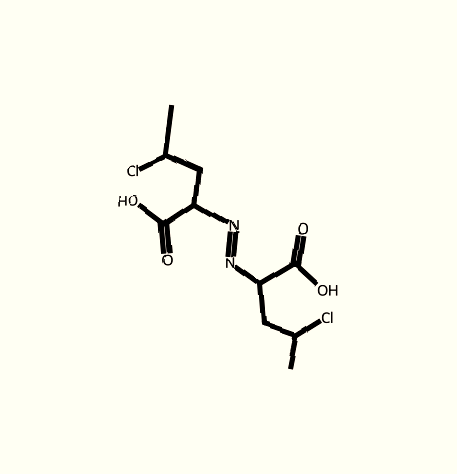 CC(Cl)CC(/N=N/C(CC(C)Cl)C(=O)O)C(=O)O